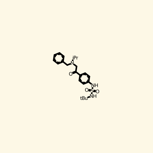 CC(C)N(CC(=O)c1ccc(NS(=O)(=O)NC(C)(C)C)cc1)Cc1ccccc1